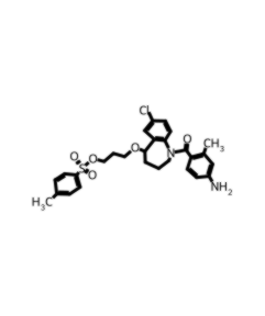 Cc1ccc(S(=O)(=O)OCCCOC2CCCN(C(=O)c3ccc(N)cc3C)c3ccc(Cl)cc32)cc1